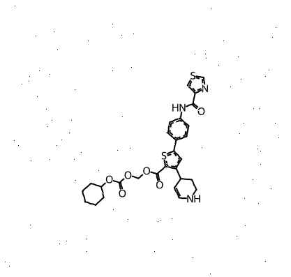 O=C(OCOC(=O)c1sc(-c2ccc(NC(=O)c3cscn3)cc2)cc1C1C=CNCC1)OC1CCCCC1